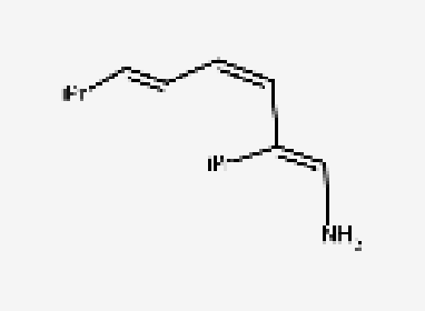 CC(C)/C=C/C=C\C(=C\N)C(C)C